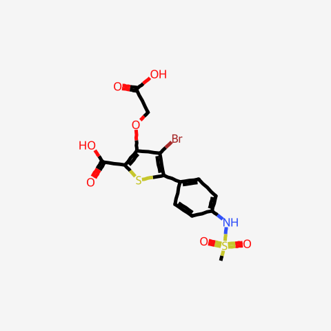 CS(=O)(=O)Nc1ccc(-c2sc(C(=O)O)c(OCC(=O)O)c2Br)cc1